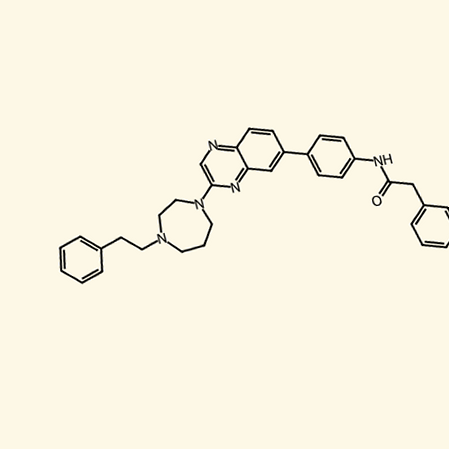 O=C(Cc1ccccc1)Nc1ccc(-c2ccc3ncc(N4CCCN(CCc5ccccc5)CC4)nc3c2)cc1